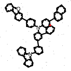 c1ccc(-c2cc(-c3cccc(-n4c5ccccc5c5ccccc54)c3)ccc2N(c2ccc(-c3ccc4ccccc4c3)cc2)c2ccc(-c3ccc4c(c3)oc3ccccc34)cc2)cc1